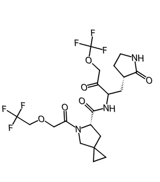 O=C(COC(F)(F)F)C(C[C@@H]1CCNC1=O)NC(=O)[C@@H]1CC2(CC2)CN1C(=O)COCC(F)(F)F